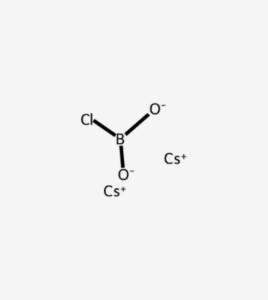 [Cs+].[Cs+].[O-]B([O-])Cl